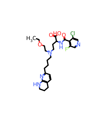 CCOCCN(CCCCc1ccc2c(n1)NCCC2)CCC(NC(=O)c1c(F)cncc1Cl)C(=O)O